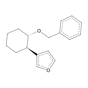 c1ccc(CO[C@H]2CCCC[C@@H]2c2ccoc2)cc1